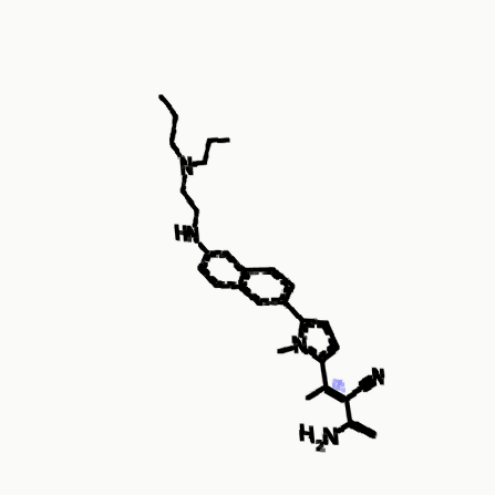 C=C(N)/C(C#N)=C(\C)c1ccc(-c2ccc3cc(NCCN(CCC)CCC)ccc3c2)n1C